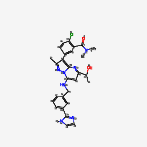 CCCN(CC)C(=O)c1cc(-c2c(C)nn3c(NCc4cccc(-c5nccn5C)c4)cc(C(C)O)nc23)ccc1Cl